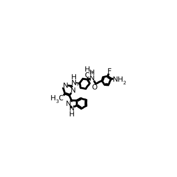 Cc1cnc(N[C@@H]2CCC[C@](C)(NC(=O)c3ccc(N)c(F)c3)C2)nc1-c1n[nH]c2ccccc12